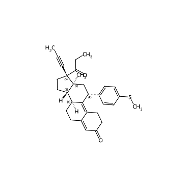 CC#C[C@]1(C(=O)CC)CC[C@H]2[C@@H]3CCC4=CC(=O)CCC4=C3[C@@H](c3ccc(SC)cc3)C[C@@]21C